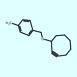 Cc1ccc(COC2C#CCCCCC2)cc1